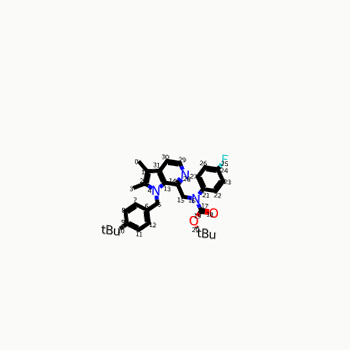 Cc1c(C)n(Cc2ccc(C(C)(C)C)cc2)c2c(CN(C(=O)OC(C)(C)C)c3ccc(F)cc3)nccc12